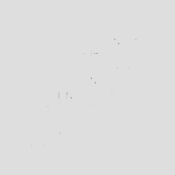 O=C(NC(=O)c1ccc(Cl)nc1Cl)Nc1ccc(Cl)cc1